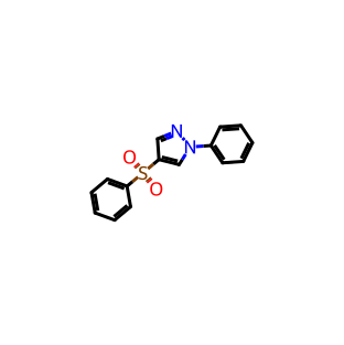 O=S(=O)(c1ccccc1)c1cnn(-c2ccccc2)c1